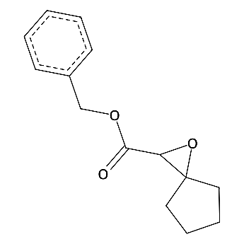 O=C(OCc1ccccc1)C1OC12CCCC2